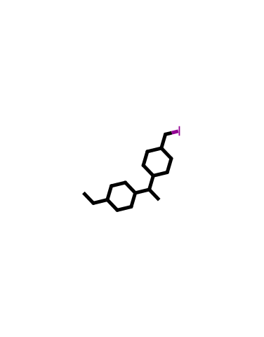 CCC1CCC(C(C)C2CCC(CI)CC2)CC1